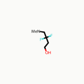 CNCC(F)(F)CCO